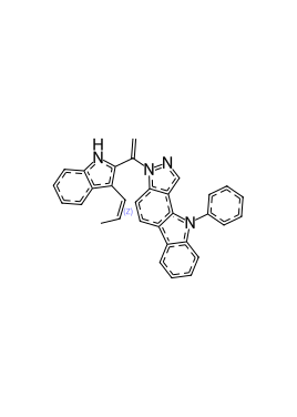 C=C(c1[nH]c2ccccc2c1/C=C\C)n1ncc2c1ccc1c3ccccc3n(-c3ccccc3)c12